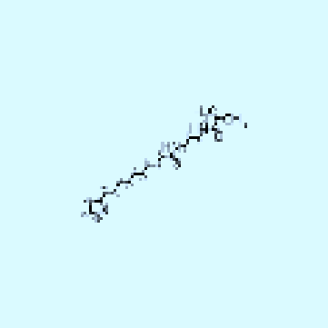 C=C(C)C(=O)NCCCNC(=O)CCCCCCCCCC1CCSS1